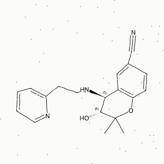 CC1(C)Oc2ccc(C#N)cc2[C@H](NCCc2ccccn2)[C@H]1O